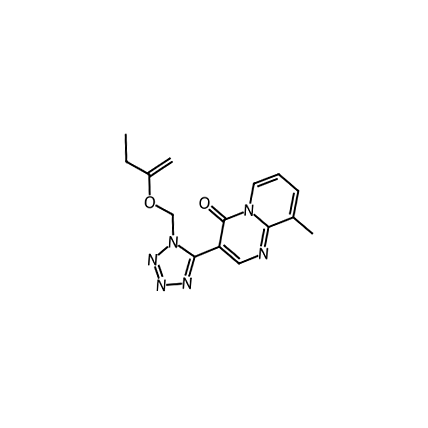 C=C(CC)OCn1nnnc1-c1cnc2c(C)cccn2c1=O